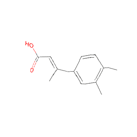 C/C(=C\C(=O)O)c1ccc(C)c(C)c1